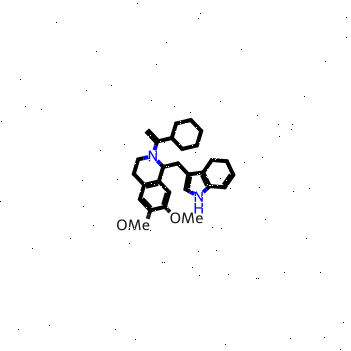 C=C(C1CCCCC1)N1CCc2cc(OC)c(OC)cc2C1Cc1c[nH]c2c1CCC=C2